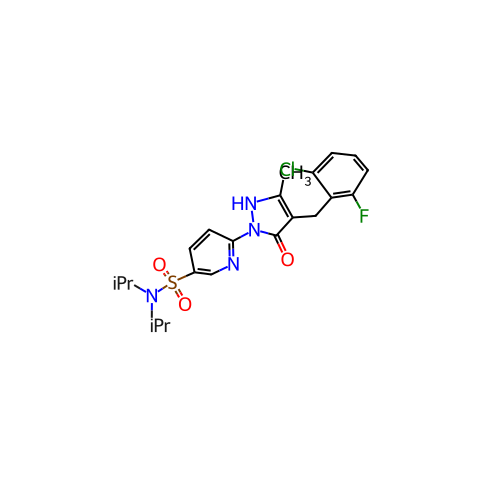 Cc1[nH]n(-c2ccc(S(=O)(=O)N(C(C)C)C(C)C)cn2)c(=O)c1Cc1c(F)cccc1Cl